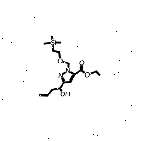 C=CCC(O)c1cc(C(=O)OCC)n(COCC[Si](C)(C)C)n1